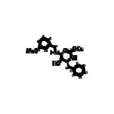 COc1cccc(CNC[C@H](O)[C@H](Cc2ccccc2)NC(=O)OCC(C)C)c1